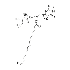 CCCCCCCCCCCCCCCC(=O)OC[C@H](CCOC(=O)[C@@H](N)C(C)CC)Cn1cnc2c(=O)[nH]c(N)nc21